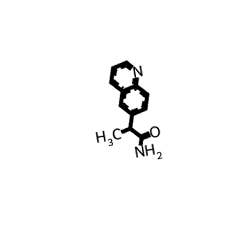 CC(C(N)=O)c1ccc2ncccc2c1